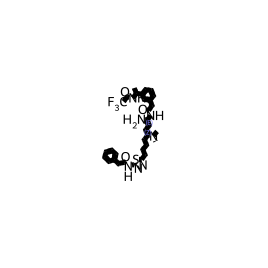 CC(NC(=O)C(F)(F)F)c1cccc(CC(=O)N/C(N)=C/C=C(/CCCCc2nnc(NC(=O)Cc3ccccc3)s2)N(C)C)c1